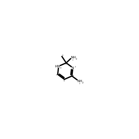 CC1(N)N=C(N)C=CN1